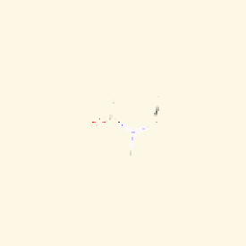 C=CN(C)C(=O)Cl